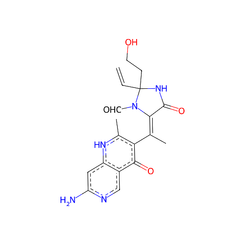 C=CC1(CCO)NC(=O)/C(=C(\C)c2c(C)[nH]c3cc(N)ncc3c2=O)N1C=O